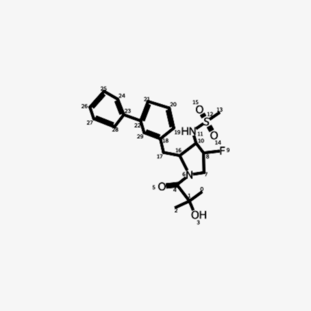 CC(C)(O)C(=O)N1CC(F)C(NS(C)(=O)=O)C1Cc1cccc(-c2ccccc2)c1